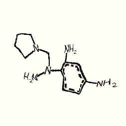 Nc1ccc(N(N)CN2CCCC2)c(N)c1